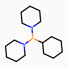 C1CCC(P(N2CCCCC2)N2CCCCC2)CC1